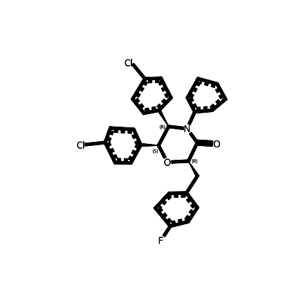 O=C1[C@@H](Cc2ccc(F)cc2)O[C@@H](c2ccc(Cl)cc2)[C@@H](c2ccc(Cl)cc2)N1c1ccccc1